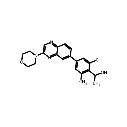 Cc1cc(-c2ccc3ncc(N4CCOCC4)nc3c2)cc(C)c1C(C)O